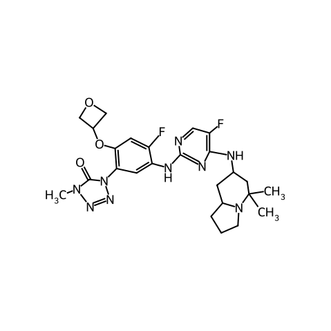 Cn1nnn(-c2cc(Nc3ncc(F)c(NC4CC5CCCN5C(C)(C)C4)n3)c(F)cc2OC2COC2)c1=O